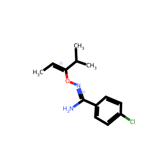 C/C=C(\O/N=C(\N)c1ccc(Cl)cc1)C(C)C